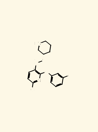 Cc1ccc(OC[C@H]2CCCNC2)c(Oc2cccc(Cl)c2)n1